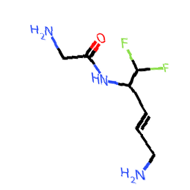 NCC=CC(NC(=O)CN)C(F)F